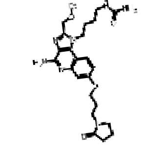 CCOCc1nc2c(N)nc3cc(OCCCN4CCCC4=O)ccc3c2n1CCCCN(C(N)=O)C(C)C